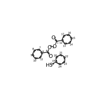 O=C(OOC(=O)c1ccccc1)c1ccccc1.Sc1ccccc1